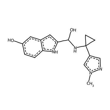 Cn1cc(C2(NC(O)c3cc4cc(O)ccc4[nH]3)CC2)cn1